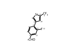 O=Cc1ccc(-c2csc(C(F)(F)F)c2)c(F)c1